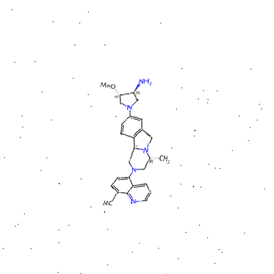 CO[C@H]1CN(c2ccc3c(c2)CN2C3CN(c3ccc(C#N)c4ncccc34)C[C@H]2C)C[C@@H]1N